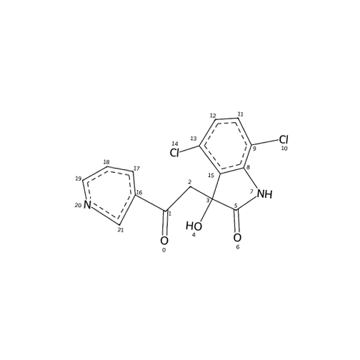 O=C(CC1(O)C(=O)Nc2c(Cl)ccc(Cl)c21)c1cccnc1